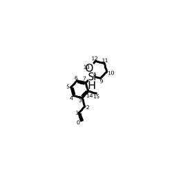 C=CCc1cccc([SiH]2CCCCO2)c1C